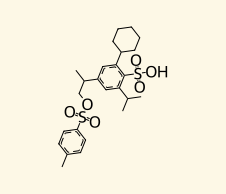 Cc1ccc(S(=O)(=O)OCC(C)c2cc(C(C)C)c(S(=O)(=O)O)c(C3CCCCC3)c2)cc1